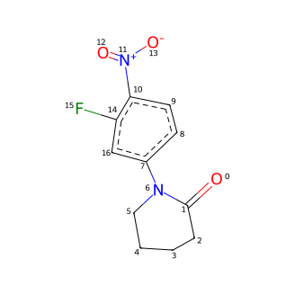 O=C1CCCCN1c1ccc([N+](=O)[O-])c(F)c1